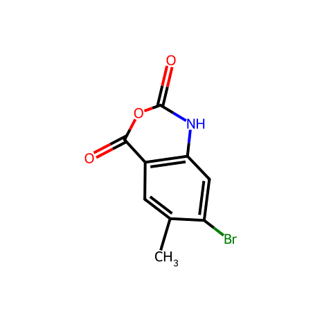 Cc1cc2c(=O)oc(=O)[nH]c2cc1Br